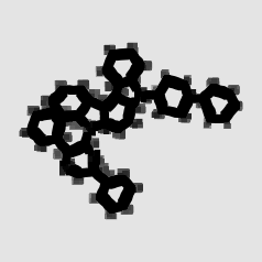 c1ccc(-c2ccc(-n3c4ccccc4c4c5c6ccccc6n(-c6nc(-c7ccccc7)cnc6-c6ccccc6)c5ccc43)cc2)cc1